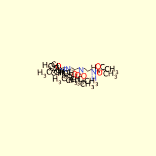 CC(C)(C)OC(=O)NCCCN(CC(CNCCO[Si](C)(C)C(C)(C)C)O[Si](C)(C)C(C)(C)C)C(=O)OC(C)(C)C